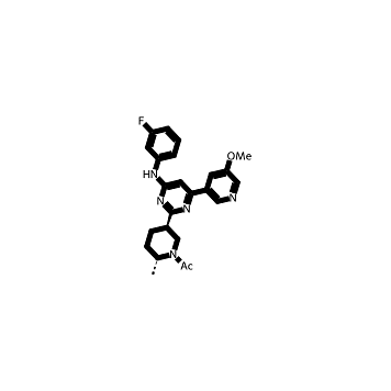 COc1cncc(-c2cc(Nc3cccc(F)c3)nc([C@@H]3CC[C@@H](C)N(C(C)=O)C3)n2)c1